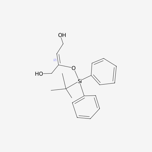 CC(C)(C)[Si](O/C(=C\CO)CO)(c1ccccc1)c1ccccc1